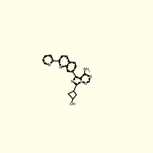 Nc1ncnn2c(C3CC(O)C3)nc(-c3ccc4ccc(-c5ccccn5)nc4c3)c12